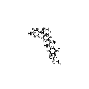 Cc1nc2c(F)cc(NC(=O)c3cnc(N(C)C4CCNCC4)cn3)cc2o1